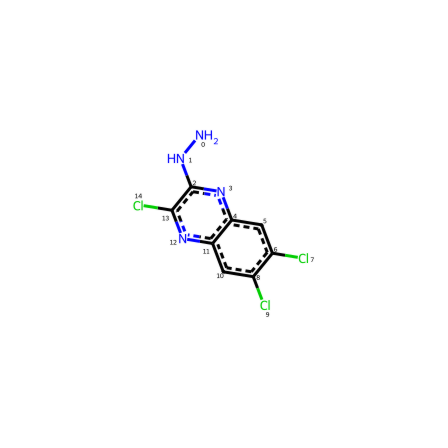 NNc1nc2cc(Cl)c(Cl)cc2nc1Cl